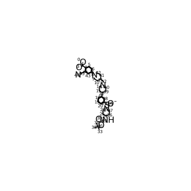 COC(=O)c1ccc(N2CCC(CN3CCC(c4cccc([S+]([O-])N5CCC(NC(=O)OC(C)(C)C)CC5)c4)CC3)CC2)cc1C#N